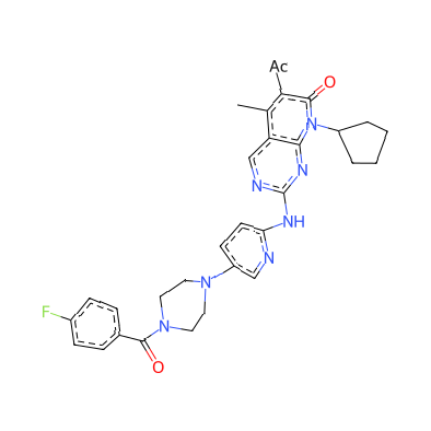 CC(=O)c1c(C)c2cnc(Nc3ccc(N4CCN(C(=O)c5ccc(F)cc5)CC4)cn3)nc2n(C2CCCC2)c1=O